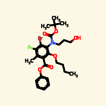 CCCCOc1c(C(=O)Oc2ccccc2)c(C)c(F)c(Br)c1N(CCCO)C(=O)OC(C)(C)C